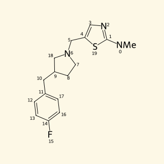 CNc1ncc(CN2CCC(Cc3ccc(F)cc3)C2)s1